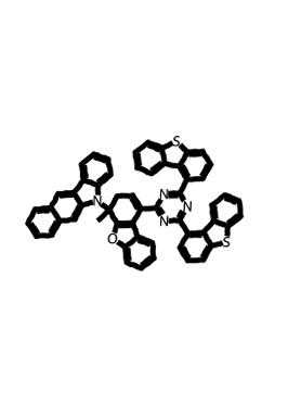 CC1(n2c3ccccc3c3cc4ccccc4cc32)CC=C(c2nc(-c3cccc4sc5ccccc5c34)nc(-c3cccc4sc5ccccc5c34)n2)c2c1oc1ccccc21